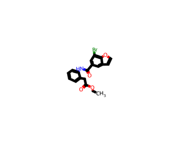 CCOC(=O)Cc1ccccc1NC(=O)c1cc(Br)c2occc2c1